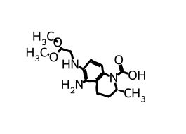 COC(CNc1ccc2c(c1N)CC[C@H](C)N2C(=O)O)OC